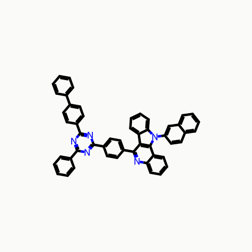 c1ccc(-c2ccc(-c3nc(-c4ccccc4)nc(-c4ccc(-c5nc6ccccc6c6c5c5ccccc5n6-c5ccc6ccccc6c5)cc4)n3)cc2)cc1